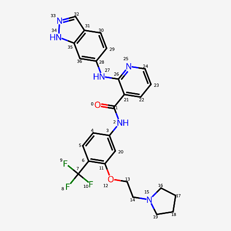 O=C(Nc1ccc(C(F)(F)F)c(OCCN2CCCC2)c1)c1cccnc1Nc1ccc2cn[nH]c2c1